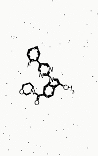 Cc1cn(-c2ncc(-c3ccccc3F)cn2)c2cc(C(=O)N3CCCOC3)ccc12